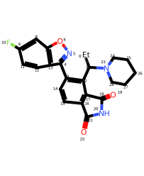 CCC(c1c(-c2noc3cc(F)ccc23)ccc2c1C(=O)NC2=O)N1CCCCC1